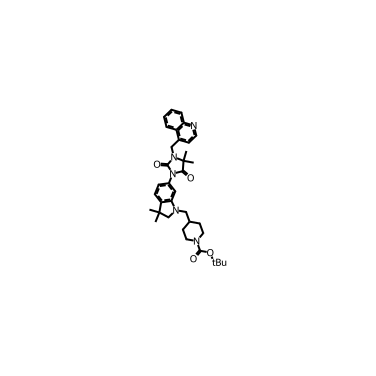 CC(C)(C)OC(=O)N1CCC(CN2CC(C)(C)c3ccc(N4C(=O)N(Cc5ccnc6ccccc56)C(C)(C)C4=O)cc32)CC1